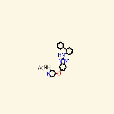 CC(=O)Nc1cc(Oc2ccc3c(c2)nc(Nc2ccccc2-c2ccccc2)n3C)ccn1